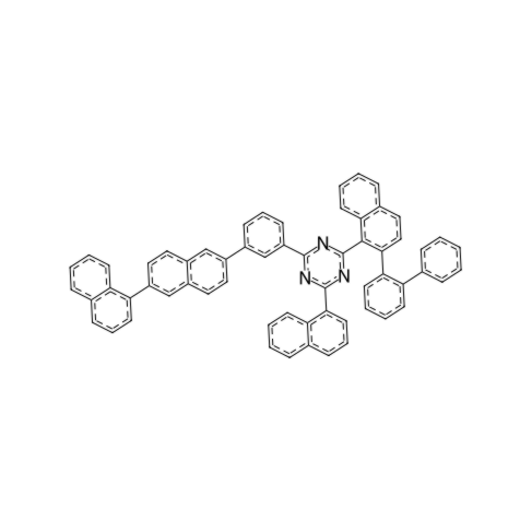 c1ccc(-c2ccccc2-c2ccc3ccccc3c2-c2nc(-c3cccc(-c4ccc5cc(-c6cccc7ccccc67)ccc5c4)c3)nc(-c3cccc4ccccc34)n2)cc1